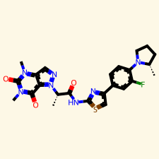 C[C@H]1CCCN1c1ccc(-c2csc(NC(=O)[C@H](C)n3ncc4c3c(=O)n(C)c(=O)n4C)n2)cc1F